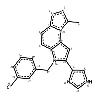 Cc1nnc2ccc3c(cc(-c4c[nH]cn4)n3Cc3cccc(Cl)c3)n12